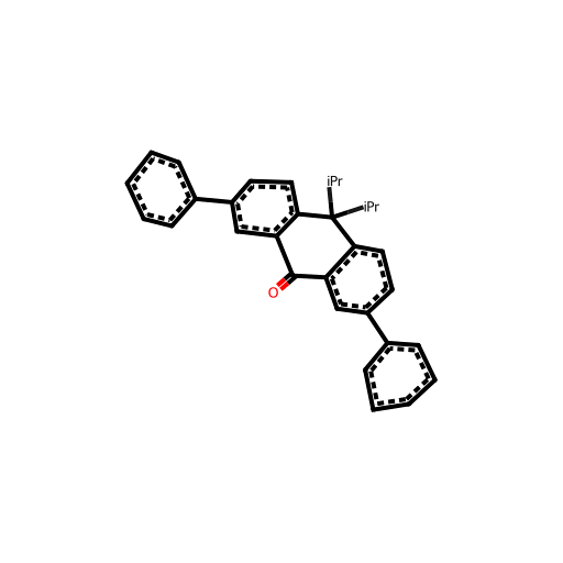 CC(C)C1(C(C)C)c2ccc(-c3ccccc3)cc2C(=O)c2cc(-c3ccccc3)ccc21